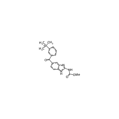 COC(=O)Nc1nc2cc(C(=O)c3ccc[c]([Sn]([CH3])([CH3])[CH3])c3)ccc2[nH]1